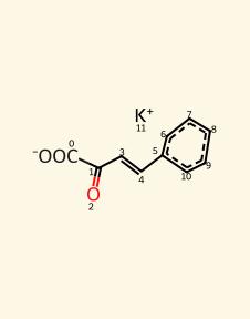 O=C([O-])C(=O)C=Cc1ccccc1.[K+]